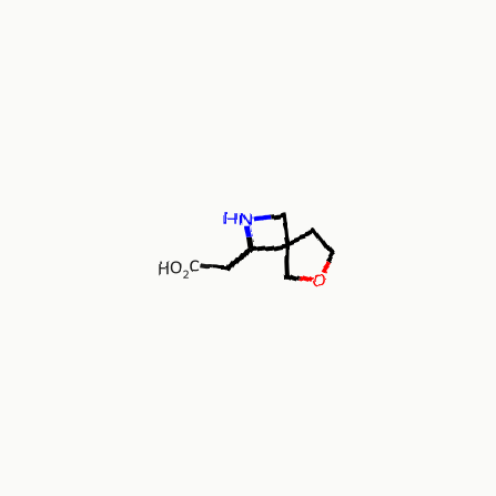 O=C(O)CC1NCC12CCOC2